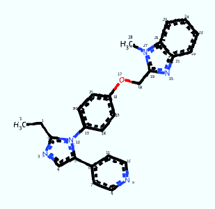 CCc1ncc(-c2ccncc2)n1-c1ccc(OCc2nc3ccccc3n2C)cc1